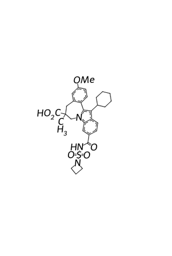 COc1ccc2c(c1)CC(C)(C(=O)O)Cn1c-2c(C2CCCCC2)c2ccc(C(=O)NS(=O)(=O)N3CCC3)cc21